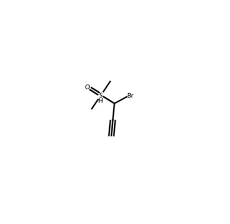 C#CC(Br)[SH](C)(C)=O